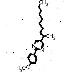 CCCCCCCCC(C)c1cnc(-c2ccc(OC)cc2)nc1